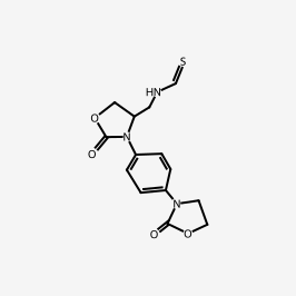 O=C1OCCN1c1ccc(N2C(=O)OCC2CNC=S)cc1